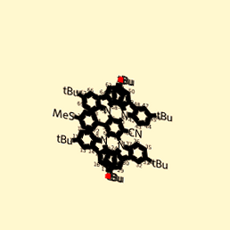 CSc1ccc(-c2c(-n3c4ccc(C(C)(C)C)cc4c4cc(C(C)(C)C)ccc43)c(-n3c4ccc(C(C)(C)C)cc4c4cc(C(C)(C)C)ccc43)c(C#N)c(-n3c4ccc(C(C)(C)C)cc4c4cc(C(C)(C)C)ccc43)c2-n2c3ccc(C(C)(C)C)cc3c3cc(C(C)(C)C)ccc32)cc1